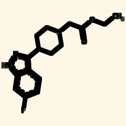 CCOC(=O)CN1CCC(c2n[nH]c3cc(F)ccc23)CC1